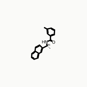 Cc1cccc(C(=O)N[C@H](C)c2ccc3ccccc3c2)c1